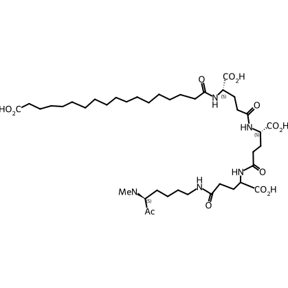 CN[C@@H](CCCCNC(=O)CCC(NC(=O)CC[C@H](NC(=O)CC[C@H](NC(=O)CCCCCCCCCCCCCCCCC(=O)O)C(=O)O)C(=O)O)C(=O)O)C(C)=O